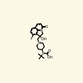 CC(C)(C)N(C(=O)O)C1CCN(CC2(O)Cn3c(=O)ccc4ccc(F)c2c43)CC1